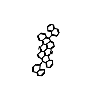 c1ccc2c(-c3c4ccccc4c4nc5ccc6c(-c7cccc8ccccc78)c7ccccc7c7nc8ccc3c4c8c5c67)cccc2c1